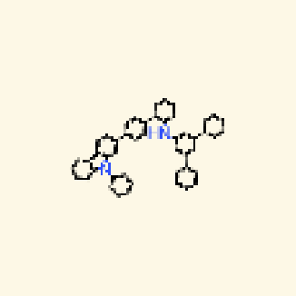 c1ccc(-c2cc(Nc3ccccc3-c3ccc(-c4ccc5c6ccccc6n(-c6ccccc6)c5c4)cc3)cc(-c3ccccc3)c2)cc1